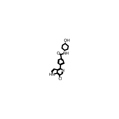 O=C(N[C@H]1CC[C@@H](O)CC1)c1ccc(-c2ncc(Cl)c3[nH]ccc23)cc1